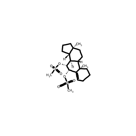 C[C@@]12CCC[C@H]1[C@@H]1[C@@H](OS(C)(=O)=O)[C@@H](OS(C)(=O)=O)C3=CCCC[C@]3(C)[C@H]1CC2